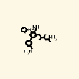 C/C(N)=C/C(C)=C(\C)Cc1cc(-c2cccc(CN)c2)cc(NC2CCCC2)c1C=N